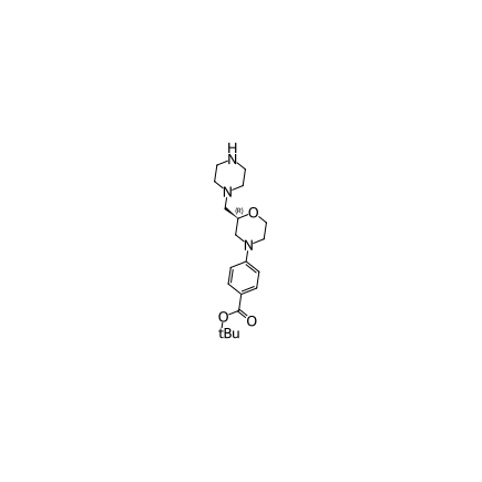 CC(C)(C)OC(=O)c1ccc(N2CCO[C@H](CN3CCNCC3)C2)cc1